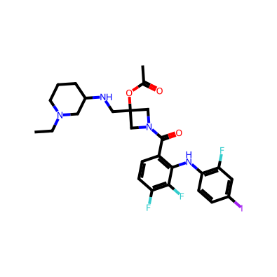 CCN1CCCC(NCC2(OC(C)=O)CN(C(=O)c3ccc(F)c(F)c3Nc3ccc(I)cc3F)C2)C1